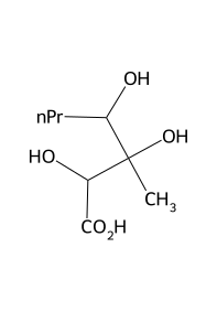 CCCC(O)C(C)(O)C(O)C(=O)O